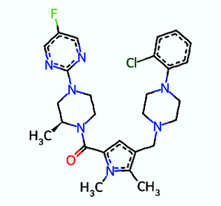 Cc1c(CN2CCN(c3ccccc3Cl)CC2)cc(C(=O)N2CCN(c3ncc(F)cn3)C[C@@H]2C)n1C